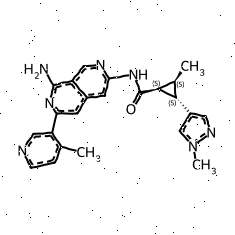 Cc1ccncc1-c1cc2cc(NC(=O)[C@H]3[C@@H](C)[C@@H]3c3cnn(C)c3)ncc2c(N)n1